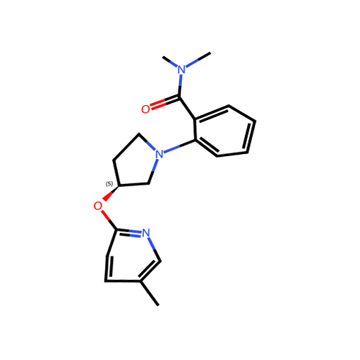 Cc1ccc(O[C@H]2CCN(c3ccccc3C(=O)N(C)C)C2)nc1